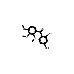 COc1ccc(C(=O)c2ccc(O)cc2O)c(OC)c1OC